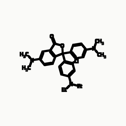 CCN(CC)c1ccc(C2(c3ccc(N(C)C)cc3)OC(=O)c3cc(N(C)C)ccc32)c(Cl)c1